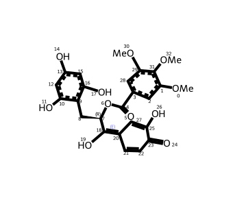 COc1cc(C(=O)O[C@H](Cc2c(O)cc(O)cc2O)/C(O)=C2/C=CC(=O)C(O)=C2)cc(OC)c1OC